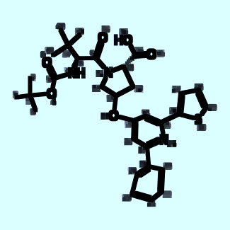 CC(C)(C)OC(=O)N[C@H](C(=O)N1CC(Oc2cc(-c3ccccc3)nc(-c3cccs3)c2)C[C@H]1C(=O)O)C(C)(C)C